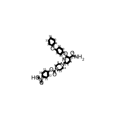 NC(=O)c1ccc(N2CCN(C(=O)Oc3ccc([N+](=O)O)cc3)CC2)nc1Oc1ccc(Oc2ccccc2)cc1